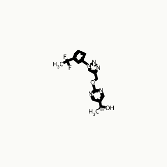 C[C@H](O)c1cnc(OCc2cn(-c3cccc(C(C)(F)F)c3)nn2)nc1